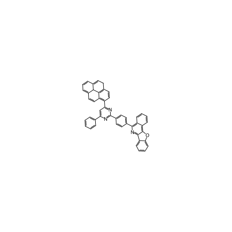 C1=CC2=CCc3ccc(-c4cc(-c5ccccc5)nc(-c5ccc(-c6nc7c8ccccc8oc7c7ccccc67)cc5)n4)c4c3C2C(=C1)C=C4